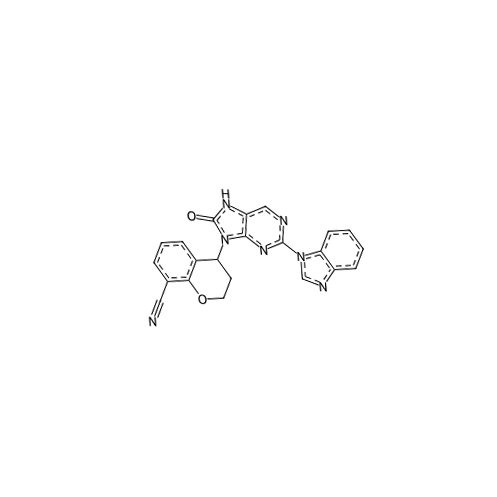 N#Cc1cccc2c1OCCC2n1c(=O)[nH]c2cnc(-n3cnc4ccccc43)nc21